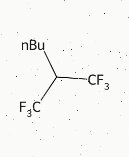 [CH2]CCCC(C(F)(F)F)C(F)(F)F